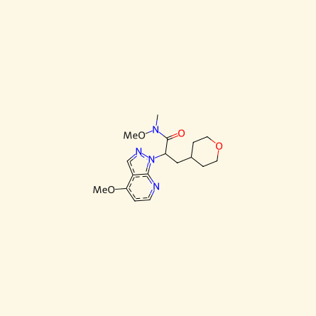 COc1ccnc2c1cnn2C(CC1CCOCC1)C(=O)N(C)OC